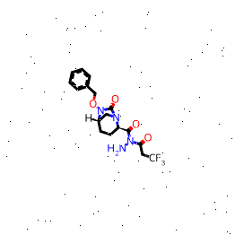 NN(C(=O)CC(F)(F)F)C(=O)[C@H]1CC[C@H]2CN1C(=O)N2OCc1ccccc1